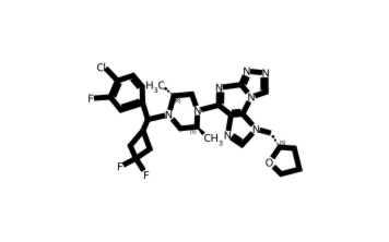 C[C@@H]1CN(c2nc3nncn3c3c2ncn3C[C@@H]2CCCO2)[C@@H](C)CN1C(c1ccc(Cl)c(F)c1)C1CC(F)(F)C1